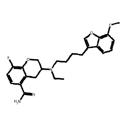 CCN(CCCCc1coc2c(OC)cccc12)C1COc2c(F)ccc(C(N)=O)c2C1